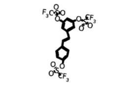 O=S(=O)(Oc1ccc(C=Cc2cc(OS(=O)(=O)C(F)(F)F)cc(OS(=O)(=O)C(F)(F)F)c2)cc1)C(F)(F)F